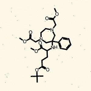 COC(=O)CN1CCN(CC(=O)OC)CC(NC(CCC(=O)OC(C)(C)C)C(=O)OC)(c2ccccc2)C1